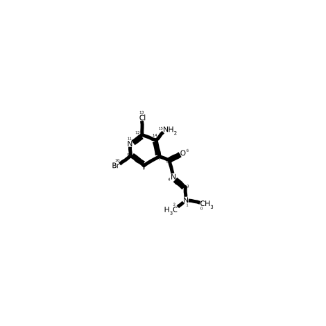 CN(C)C=NC(=O)c1cc(Br)nc(Cl)c1N